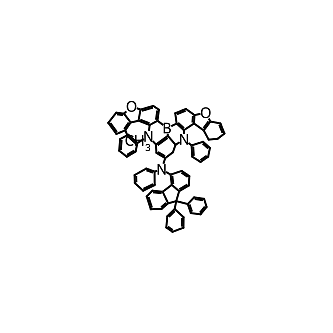 Cc1cccc2oc3ccc4c(c3c12)N(c1ccccc1)C1=C2B4c3ccc4oc5c(c4c3N(c3ccccc3)C2CC(N(c2ccccc2)c2cccc3c2-c2ccccc2C3(c2ccccc2)c2ccccc2)=C1)CCC=C5